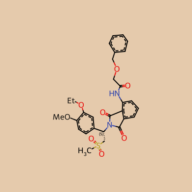 CCOc1cc([C@@H](CS(C)(=O)=O)N2C(=O)c3cccc(NC(=O)COCc4ccccc4)c3C2=O)ccc1OC